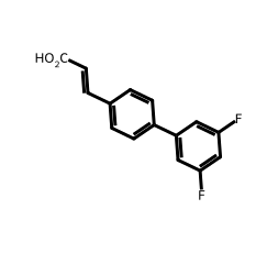 O=C(O)/C=C/c1ccc(-c2cc(F)cc(F)c2)cc1